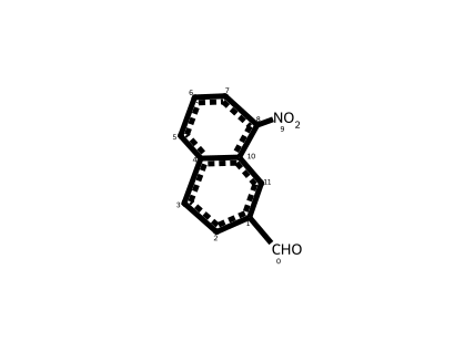 O=Cc1ccc2cccc([N+](=O)[O-])c2c1